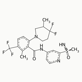 Cc1c(C(F)(F)F)ccc(N2CCC(F)(F)C(C)C2)c1C(=O)Nc1ccnc([S@](C)(=N)=O)c1